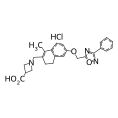 CC1=C(CN2CC(C(=O)O)C2)CCc2cc(OCc3nc(-c4ccccc4)no3)ccc21.Cl